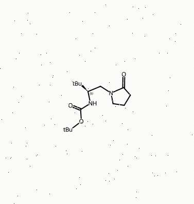 CC(C)(C)OC(=O)N[C@H](CN1CCCC1=O)C(C)(C)C